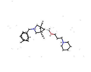 Cc1ccc(CN2C[C@@H]3[C@H](COCCCN4CCCCC4)[C@@H]3C2)cc1